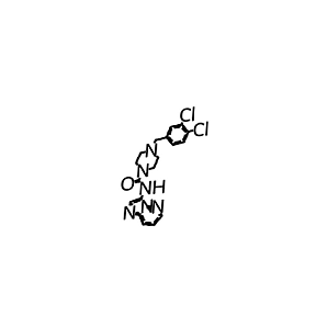 O=C(Nc1cnc2cccnn12)N1CCN(Cc2ccc(Cl)c(Cl)c2)CC1